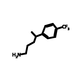 CC(CCCN)c1ccc(C(F)(F)F)cc1